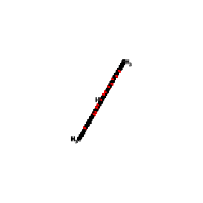 CCCCCCCCCCCCCCCCCCCCCCCCCCCC/C=C/N/C=C/CCCCCCCCCCCCCCCCCCCCCCCCCCCC